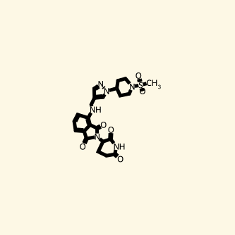 CS(=O)(=O)N1CCC(n2cc(CNc3cccc4c3C(=O)N(C3CCC(=O)NC3=O)C4=O)cn2)CC1